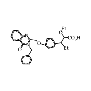 CCOC(C(=O)O)C(CC)c1ccc(OCc2nc3ccccc3c(=O)n2Cc2ccccc2)cc1